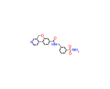 NS(=O)(=O)c1cccc(CNC(=O)c2ccc3c(c2)OCc2cnccc2-3)c1